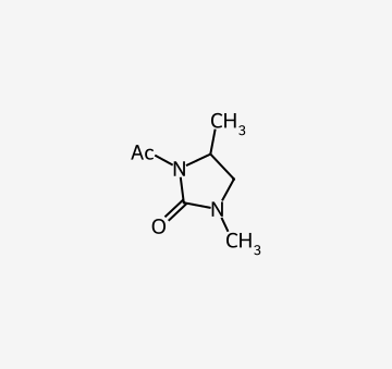 CC(=O)N1C(=O)N(C)CC1C